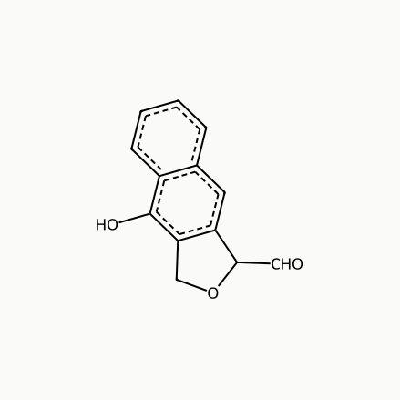 O=CC1OCc2c1cc1ccccc1c2O